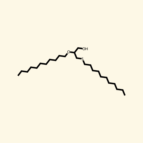 CCCCCCCCCCCOC(CO)CSCCCCCCCCCCC